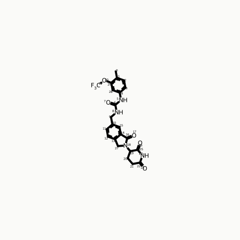 Cc1ccc(NC(=O)NCc2ccc3c(c2)C(=O)N(C2CCC(=O)NC2=O)C3)cc1OC(F)(F)F